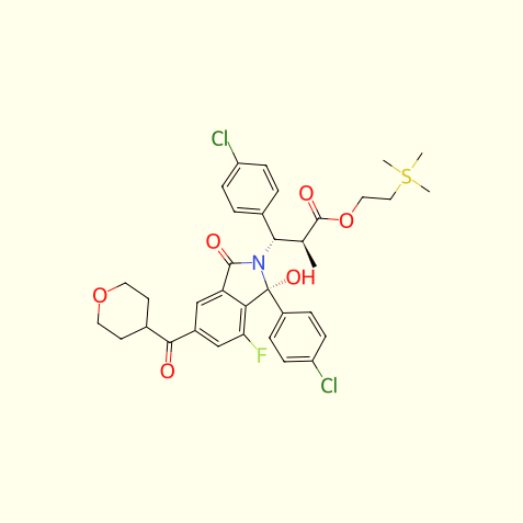 C[C@H](C(=O)OCCS(C)(C)C)[C@@H](c1ccc(Cl)cc1)N1C(=O)c2cc(C(=O)C3CCOCC3)cc(F)c2[C@]1(O)c1ccc(Cl)cc1